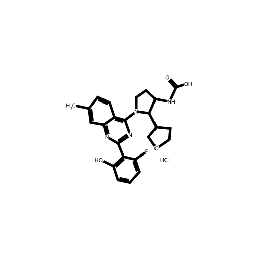 Cc1ccc2c(N3CCC(NC(=O)O)C3C3CCOC3)nc(-c3c(O)cccc3F)nc2c1.Cl